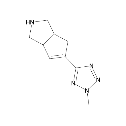 Cn1nnc(C2=CC3CNCC3C2)n1